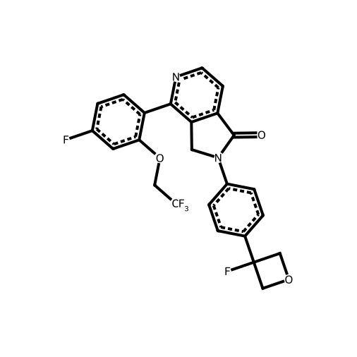 O=C1c2ccnc(-c3ccc(F)cc3OCC(F)(F)F)c2CN1c1ccc(C2(F)COC2)cc1